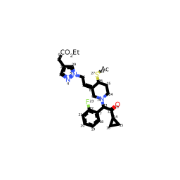 CCOC(=O)Cc1cnn(C/C=C2/CN(C(C(=O)C3CC3)c3ccccc3F)CCC2SC(C)=O)c1